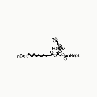 CCCCCCCCCCCCCCCCCCCCC(=O)O[C@H](COC(=O)CCCCCCC)COP(=O)(O)OCC[N+](C)(C)C